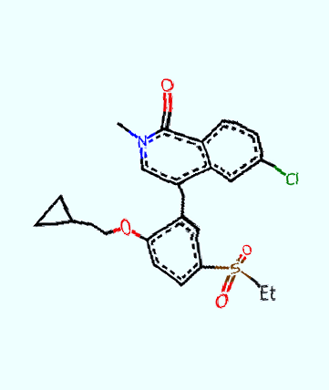 CCS(=O)(=O)c1ccc(OCC2CC2)c(-c2cn(C)c(=O)c3ccc(Cl)cc23)c1